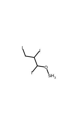 [SiH3]OC(I)C(I)CI